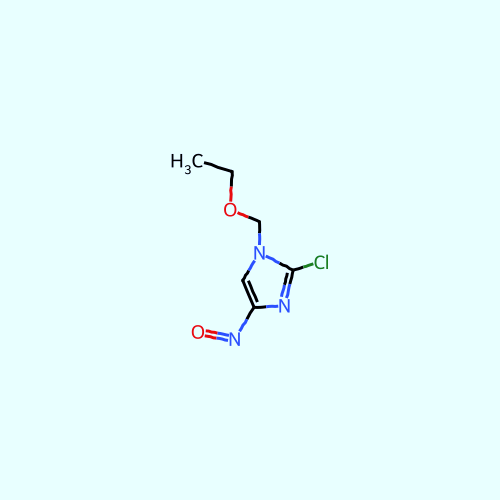 CCOCn1cc(N=O)nc1Cl